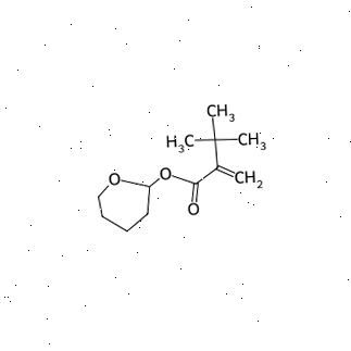 C=C(C(=O)OC1CCCCO1)C(C)(C)C